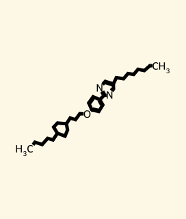 CCCCCCCCc1cnc(-c2ccc(OCCCC3CCC(CCCCC)CC3)cc2)nc1